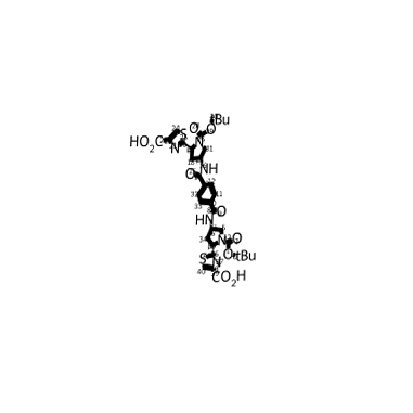 CC(C)(C)OC(=O)N1C[C@@H](NC(=O)c2ccc(C(=O)N[C@H]3C[C@@H](c4nc(C(=O)O)cs4)N(C(=O)OC(C)(C)C)C3)cc2)C[C@H]1c1nc(C(=O)O)cs1